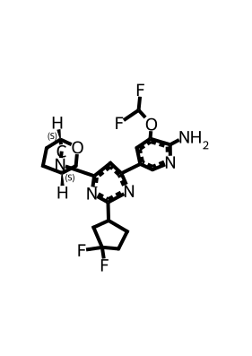 Nc1ncc(-c2cc(N3C[C@@H]4CC[C@H]3CO4)nc(C3CCC(F)(F)C3)n2)cc1OC(F)F